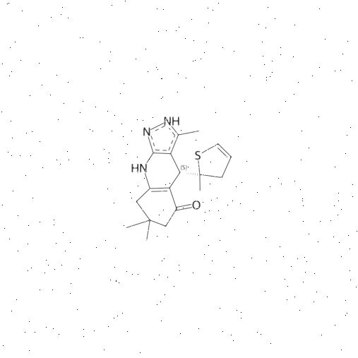 Cc1[nH]nc2c1[C@H](C1(C)CC=CS1)C1=C(CC(C)(C)CC1=O)N2